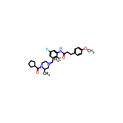 COc1ccc(CCC(=O)Nc2cc(F)cc(CN3CCN(C(=O)C4CCCC4)C(C)C3)c2C)cc1